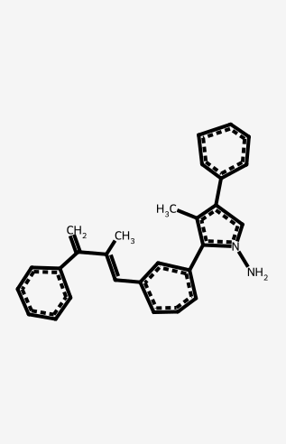 C=C(/C(C)=C/c1cccc(-c2c(C)c(-c3ccccc3)cn2N)c1)c1ccccc1